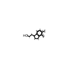 OCCC1CCc2c1ccc(F)c2F